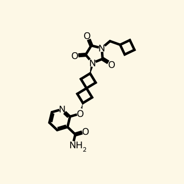 NC(=O)c1cccnc1O[C@H]1CC2(C1)C[C@H](N1C(=O)C(=O)N(CC3CCC3)C1=O)C2